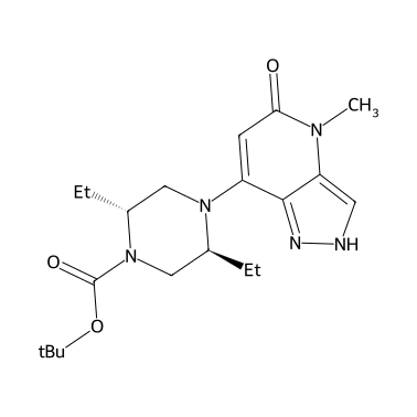 CC[C@@H]1CN(c2cc(=O)n(C)c3c[nH]nc23)[C@@H](CC)CN1C(=O)OC(C)(C)C